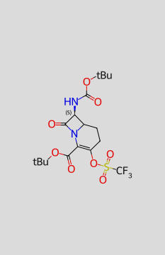 CC(C)(C)OC(=O)N[C@@H]1C(=O)N2C(C(=O)OC(C)(C)C)=C(OS(=O)(=O)C(F)(F)F)CCC12